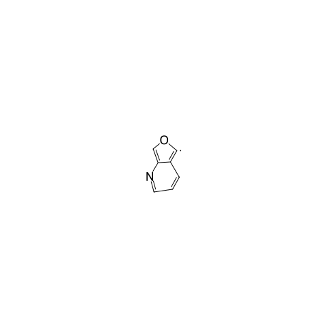 [c]1occ2ncccc12